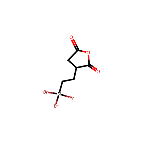 O=C1CC(CC[Si](Br)(Br)Br)C(=O)O1